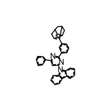 c1ccc(-c2cc(-n3c4ccccc4c4ccccc43)nc(-c3cccc(N4C5CC6CC(C5)CC4C6)c3)n2)cc1